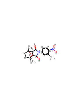 Cc1cc(N2C(=O)C3C(C2=O)C2(C)CCC3(C)O2)ccc1[N+](=O)[O-]